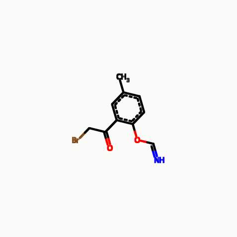 Cc1ccc(OC=N)c(C(=O)CBr)c1